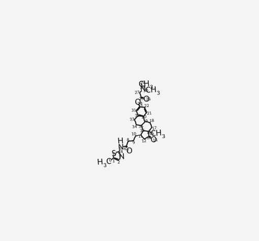 Cc1cnc(NC(=O)CCC[C@@H]2CC(=O)[C@@]3(C)CCC4c5ccc(OC(=O)CN(C)C)cc5CCC4C23)s1